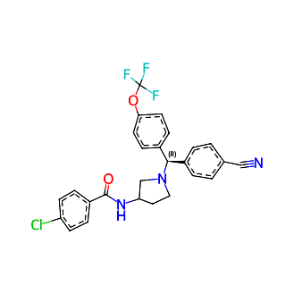 N#Cc1ccc([C@H](c2ccc(OC(F)(F)F)cc2)N2CCC(NC(=O)c3ccc(Cl)cc3)C2)cc1